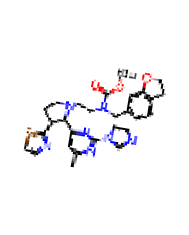 Cc1cc(C2C(c3nccs3)CCN2CCN(Cc2ccc3c(c2)OCC3)C(=O)OC(C)(C)C)nc(-n2ccnc2)n1